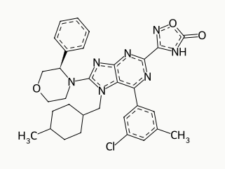 Cc1cc(Cl)cc(-c2nc(-c3noc(=O)[nH]3)nc3nc(N4CCOC[C@H]4c4ccccc4)n(CC4CCC(C)CC4)c23)c1